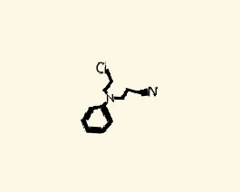 N#CCCN(CCCl)c1ccccc1